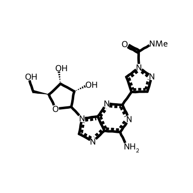 CNC(=O)n1cc(-c2nc(N)c3ncn(C4O[C@@H](CO)[C@H](O)[C@@H]4O)c3n2)cn1